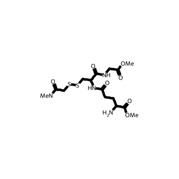 CNC(=O)CSSCC(NC(=O)CCC(N)C(=O)OC)C(=O)NCC(=O)OC